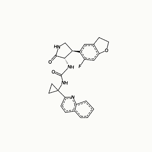 O=C(N[C@@H]1C(=O)NC[C@H]1c1cc2c(cc1F)OCC2)NC1(c2ccc3ccccc3n2)CC1